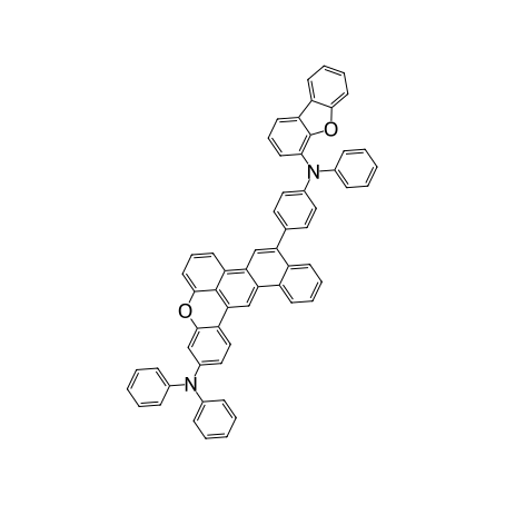 c1ccc(N(c2ccccc2)c2ccc3c(c2)Oc2cccc4c2c-3cc2c3ccccc3c(-c3ccc(N(c5ccccc5)c5cccc6c5oc5ccccc56)cc3)cc42)cc1